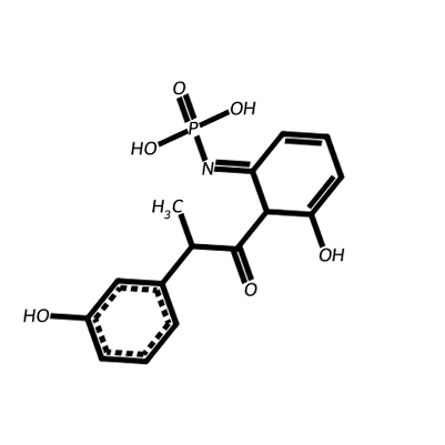 CC(C(=O)C1C(O)=CC=CC1=NP(=O)(O)O)c1cccc(O)c1